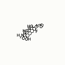 NC(=O)C1=C(O)CC2CC3Cc4c(F)c5c(c(O)c4C(=O)C3=C(O)C2C1=O)CN(C[C@@H]1CCCO1)C5